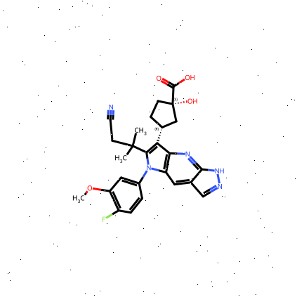 COc1cc(-n2c(C(C)(C)CC#N)c([C@@H]3CC[C@@](O)(C(=O)O)C3)c3nc4[nH]ncc4cc32)ccc1F